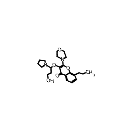 CCCc1cccc2c(=O)c(OC(CCO)N3CCCC3)c(N3CCOCC3)oc12